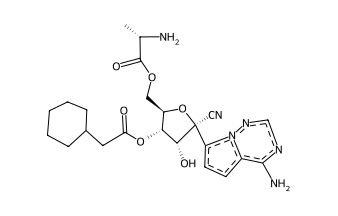 C[C@H](N)C(=O)OC[C@H]1O[C@@](C#N)(c2ccc3c(N)ncnn23)[C@H](O)[C@@H]1OC(=O)CC1CCCCC1